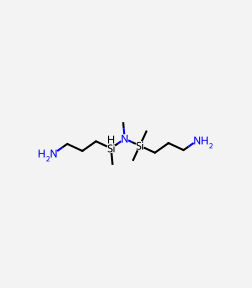 CN([SiH](C)CCCN)[Si](C)(C)CCCN